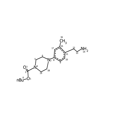 CCCCOC(=O)N1CCN(c2ccc(CCN)c(C)c2)CC1